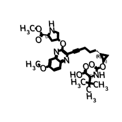 COC(=O)[C@@H]1CC(Oc2nc3cc(OC)ccc3nc2C#CCCC[C@@H]2C[C@H]2OC(=O)N[C@H](C(=O)O)C(C)(C)C)CN1